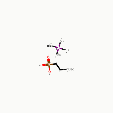 CCCCCCCCCCCCS(=O)(=O)[O-].CCCC[P+](CCCC)(CCCC)CCCC